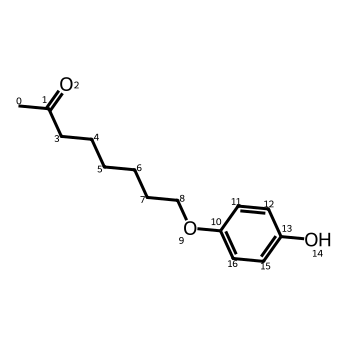 CC(=O)CCCCCCOc1ccc(O)cc1